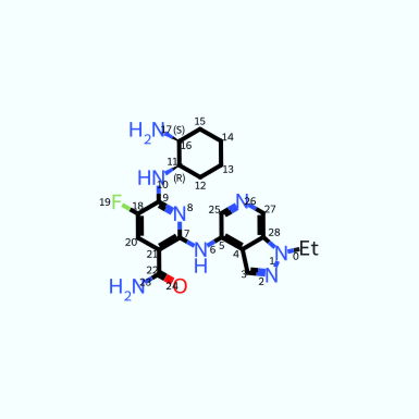 CCn1ncc2c(Nc3nc(N[C@@H]4CCCC[C@@H]4N)c(F)cc3C(N)=O)cncc21